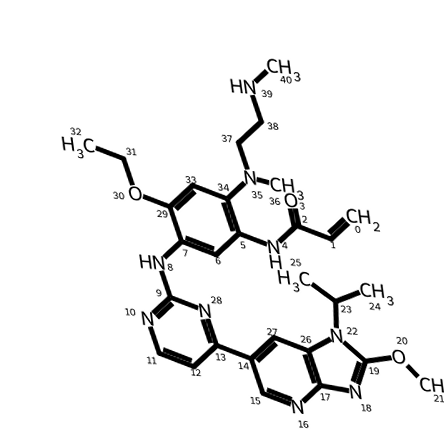 C=CC(=O)Nc1cc(Nc2nccc(-c3cnc4nc(OC)n(C(C)C)c4c3)n2)c(OCC)cc1N(C)CCNC